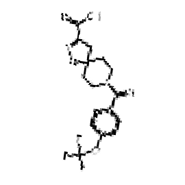 O=C(O)C1=NOC2(CCN(C(=O)c3ccc(OC(F)(F)F)cc3)CC2)C1